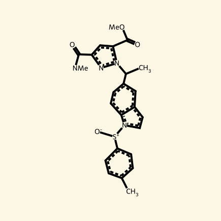 CNC(=O)c1cc(C(=O)OC)n(C(C)c2ccc3c(ccn3[S+]([O-])c3ccc(C)cc3)c2)n1